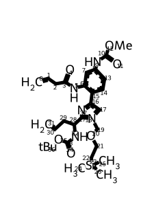 C=CCC(=O)Nc1cc(NC(=O)OC)ccc1-c1cn(COCC[Si](C)(C)C)c(C(CC=C)NC(=O)OC(C)(C)C)n1